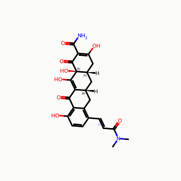 CN(C)C(=O)/C=C/c1ccc(O)c2c1C[C@H]1C[C@H]3CC(O)=C(C(N)=O)C(=O)[C@@]3(O)C(O)=C1C2=O